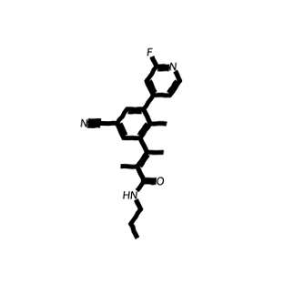 CCCNC(=O)/C(C)=C(\C)c1cc(C#N)cc(-c2ccnc(F)c2)c1C